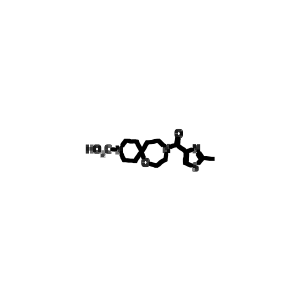 Cc1nc(C(=O)N2CCOC3(CCN(C(=O)O)CC3)CC2)cs1